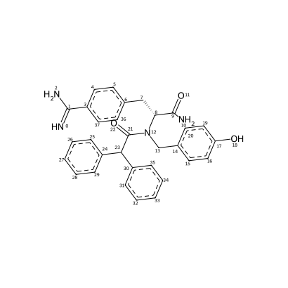 N=C(N)c1ccc(C[C@H](C(N)=O)N(Cc2ccc(O)cc2)C(=O)C(c2ccccc2)c2ccccc2)cc1